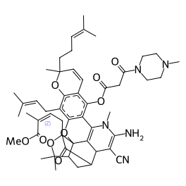 COC(=O)/C(C)=C\CC12OC(C)(C)C3CC(C1=O)C1C(C#N)=C(N)N(C)C4=C1C32Oc1c(CC=C(C)C)c2c(c(OC(=O)CC(=O)N3CCN(C)CC3)c14)C=CC(C)(CCC=C(C)C)O2